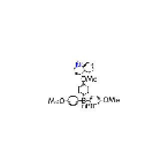 CCCC[B-](c1ccc(OC)cc1)(c1ccc(OC)cc1)c1ccc(OC)cc1.C[n+]1cccc2ccccc21